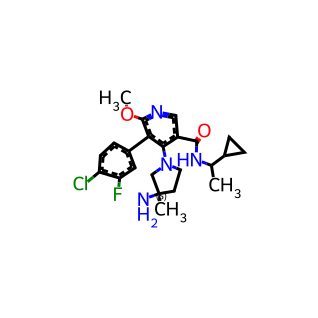 COc1ncc(C(=O)NC(C)C2CC2)c(N2CC[C@](C)(N)C2)c1-c1ccc(Cl)c(F)c1